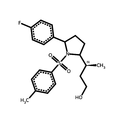 Cc1ccc(S(=O)(=O)N2C(c3ccc(F)cc3)CCC2[C@@H](C)CCO)cc1